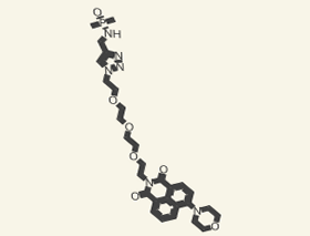 CP(C)(=O)NCc1cn(CCOCCOCCOCCN2C(=O)c3cccc4c(N5CCOCC5)ccc(c34)C2=O)nn1